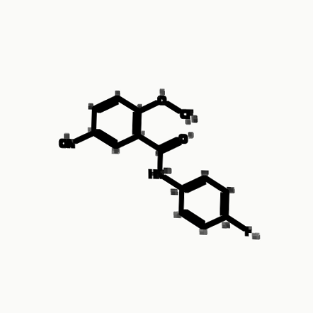 O=Nc1ccc(OC(F)(F)F)c(C(=O)Nc2ccc(F)cc2)c1